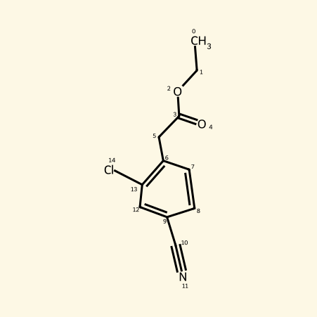 CCOC(=O)Cc1ccc(C#N)cc1Cl